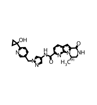 C[C@@H]1CNC(=O)c2cc3ccc(C(=O)Nc4cnn(Cc5ccc(C6(O)CC6)nc5)c4)nc3n21